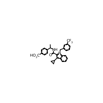 CC(NC(=O)c1c(C2CC2)c2ccccc2n1Cc1cccc(C(F)(F)F)c1)c1ccc(C(=O)O)cc1